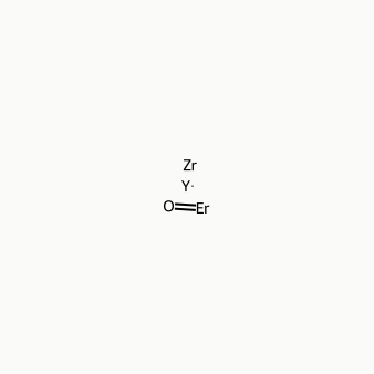 [O]=[Er].[Y].[Zr]